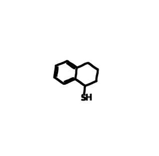 SC1CCCc2ccccc21